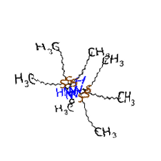 CCCCCCCCCCCCCSc1cc(Nc2nc(Nc3cc(SCCCCCCCCCCCCC)c(SCCCCCCCCCCCCC)c(SCCCCCCCCCCCCC)c3)nc(-c3ccc(CC)cc3)n2)cc(SCCCCCCCCCCCCC)c1SCCCCCCCCCCCCC